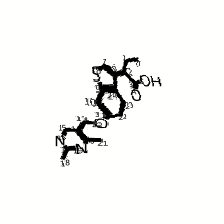 CCC(C(=O)O)c1csc2cc(OCc3cnc(C)nc3C)ccc12